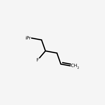 C=CCC(F)CC(C)C